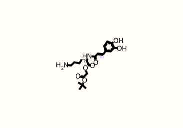 CC(C)(C)OC(=O)COC(=O)[C@H](CCCCN)NC(=O)/C=C/c1ccc(O)c(O)c1